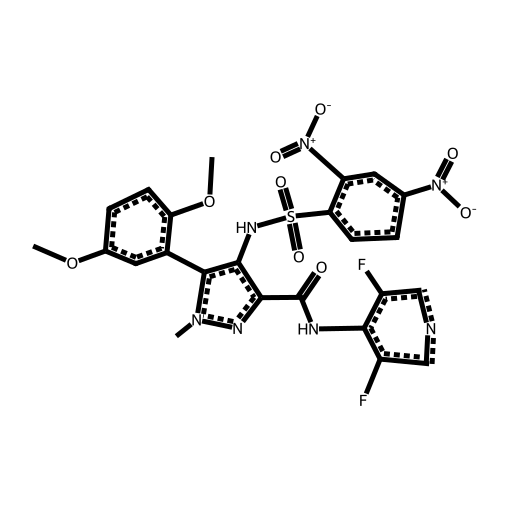 COc1ccc(OC)c(-c2c(NS(=O)(=O)c3ccc([N+](=O)[O-])cc3[N+](=O)[O-])c(C(=O)Nc3c(F)cncc3F)nn2C)c1